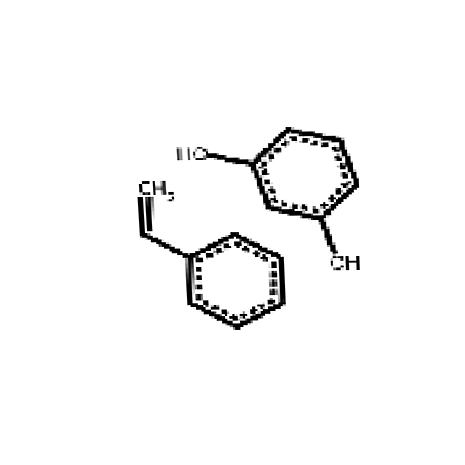 C=Cc1ccccc1.Oc1cccc(O)c1